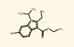 CCOC(=O)c1c(CN)n(C(C)C)c2cc(Br)ccc12